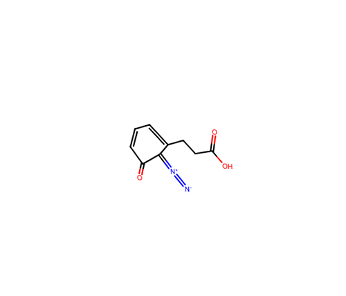 [N-]=[N+]=C1C(=O)C=CC=C1CCC(=O)O